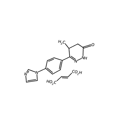 CC1CC(=O)NN=C1c1ccc(-n2ccnc2)cc1.O=C(O)C=CC(=O)O